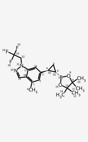 Cc1cc([C@H]2C[C@@H]2B2OC(C)(C)C(C)(C)O2)cc2c1cnn2CC(F)(F)F